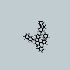 CC1(C)c2ccccc2-c2ccc(N(c3ccccc3)c3ccc4c(c3)c3c(-c5ccccc5)c5c(cc3n4-c3ccc4ccccc4c3)oc3ccccc35)cc21